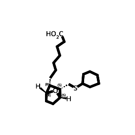 O=C(O)CCCCCC[C@@H]1[C@H](CSC2CCCCC2)[C@@H]2CC[C@H]1O2